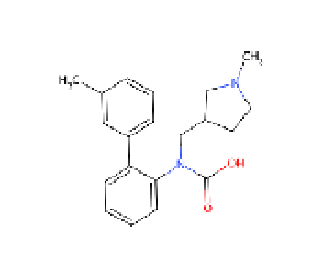 Cc1cccc(-c2ccccc2N(CC2CCN(C)C2)C(=O)O)c1